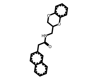 O=C(Cc1ccc2ccccc2c1)NCC1COc2ccccc2O1